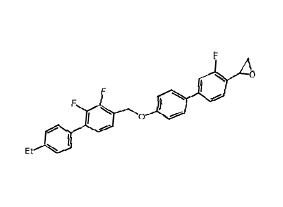 CCc1ccc(-c2ccc(COc3ccc(-c4ccc(C5CO5)c(F)c4)cc3)c(F)c2F)cc1